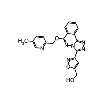 Cc1ccc(COc2nn3c(-c4cc(CO)on4)nnc3c3ccccc23)nc1